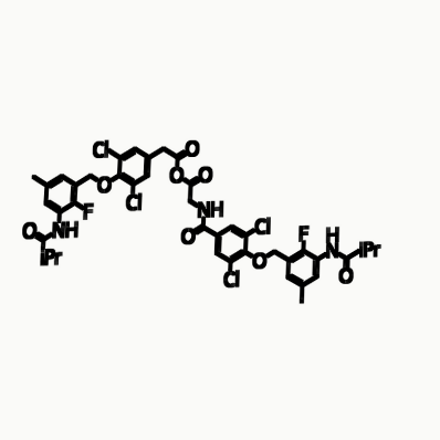 Cc1cc(COc2c(Cl)cc(CC(=O)OC(=O)CNC(=O)c3cc(Cl)c(OCc4cc(C)cc(NC(=O)C(C)C)c4F)c(Cl)c3)cc2Cl)c(F)c(NC(=O)C(C)C)c1